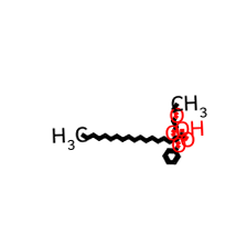 CCCCCCCCCCCCCCCCC(OCCOCC)(Oc1ccccc1)C(=O)O